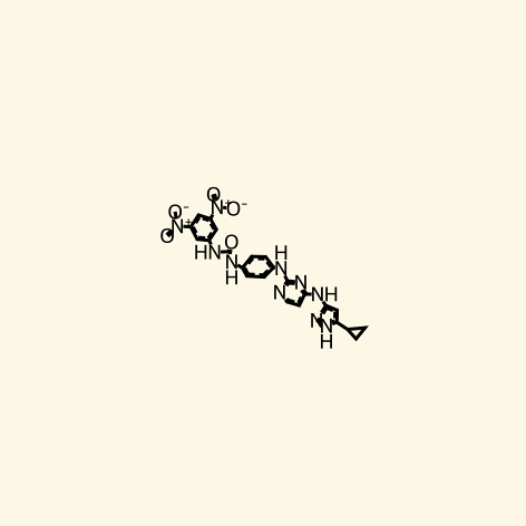 O=C(Nc1ccc(Nc2nccc(Nc3cc(C4CC4)[nH]n3)n2)cc1)Nc1cc([N+](=O)[O-])cc([N+](=O)[O-])c1